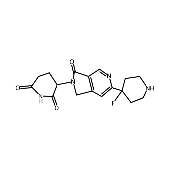 O=C1CCC(N2Cc3cc(C4(F)CCNCC4)ncc3C2=O)C(=O)N1